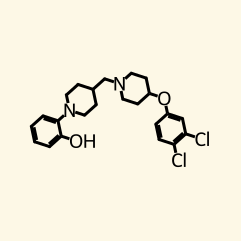 Oc1ccccc1N1CCC(CN2CCC(Oc3ccc(Cl)c(Cl)c3)CC2)CC1